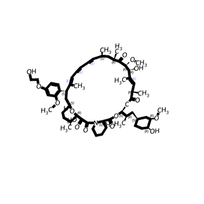 COc1cc(OCCO)ccc1[C@H]1C[C@@H]2CC[C@@H](C)[C@@](O)(O2)C(=O)C(=O)N2CCCC[C@H]2C(=O)O[C@H]([C@H](C)C[C@@H]2CC[C@@H](O)[C@H](OC)C2)CC(=O)[C@H](C)/C=C(\C)[C@@H](O)[C@@H](OC)C(=O)[C@H](C)C[C@H](C)/C=C/C=C/C=C/1C